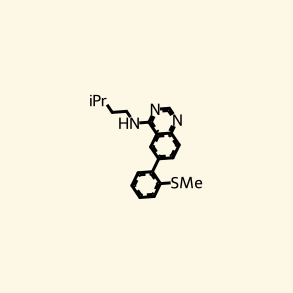 CSc1ccccc1-c1ccc2ncnc(NCCC(C)C)c2c1